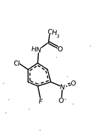 CC(=O)Nc1cc([N+](=O)[O-])c(F)cc1Cl